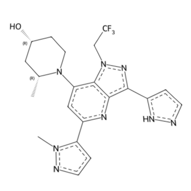 C[C@@H]1C[C@H](O)CCN1c1cc(-c2ccnn2C)nc2c(-c3ccn[nH]3)nn(CC(F)(F)F)c12